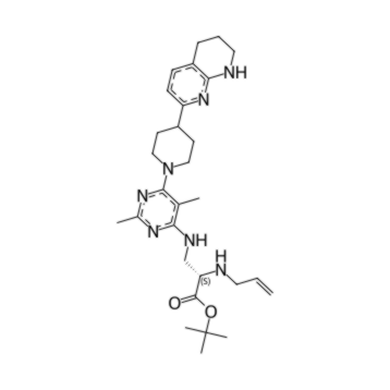 C=CCN[C@@H](CNc1nc(C)nc(N2CCC(c3ccc4c(n3)NCCC4)CC2)c1C)C(=O)OC(C)(C)C